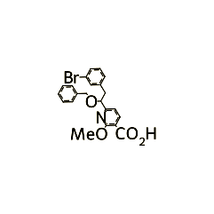 COc1nc(C(Cc2cccc(Br)c2)OCc2ccccc2)ccc1C(=O)O